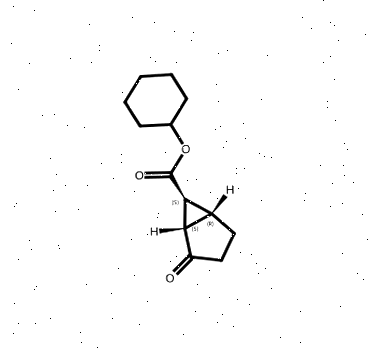 O=C1CC[C@@H]2[C@H]1[C@H]2C(=O)OC1CCCCC1